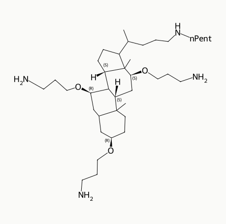 CCCCCNCCCC(C)C1CC[C@H]2C3[C@H](OCCCN)CC4C[C@H](OCCCN)CCC4(C)[C@H]3C[C@H](OCCCN)C12C